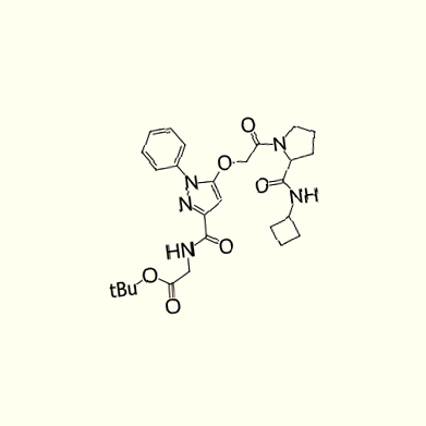 CC(C)(C)OC(=O)CNC(=O)c1cc(OCC(=O)N2CCCC2C(=O)NC2CCC2)n(-c2ccccc2)n1